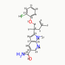 C=C(C)CC(C)(COc1ccccc1F)c1cc2cc(C(N)=O)cnc2n1C